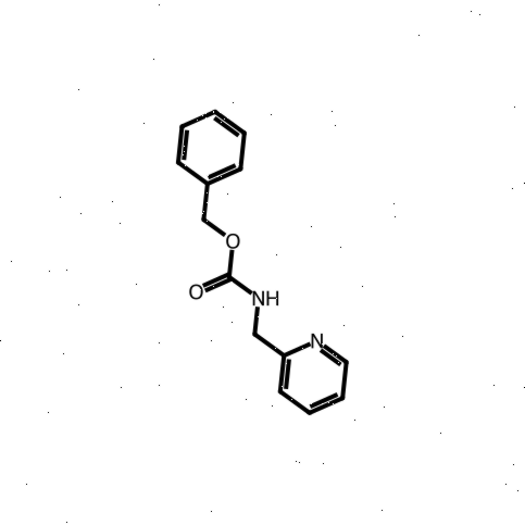 O=C(NCc1ccccn1)OCc1ccccc1